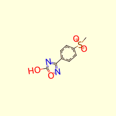 CS(=O)(=O)c1ccc(-c2noc(O)n2)cc1